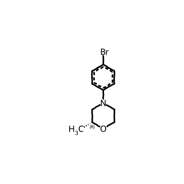 C[C@@H]1CN(c2ccc(Br)cc2)CCO1